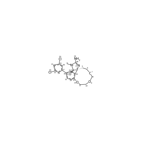 CN1C(=O)[C@@]2(CCCCOCCOc3ccc(-c4cc(Cl)cc(Cl)c4)cc32)N=C1N